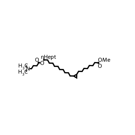 CCCCCCCC(CCCCCCCCCCC1CC1CCCCCCCC(=O)OC)OC(=O)CCCN(C)C